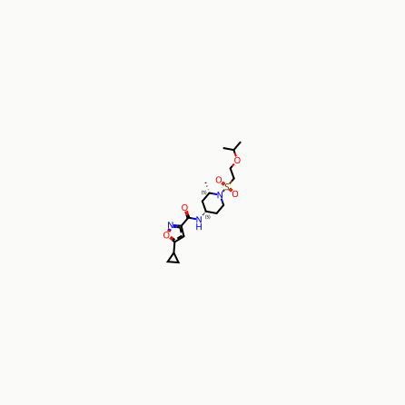 CC(C)OCCS(=O)(=O)N1CC[C@H](NC(=O)c2cc(C3CC3)on2)C[C@@H]1C